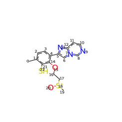 Cc1ccc(-c2cn3cnccc3n2)c(OCC[S+](C)[O-])c1S